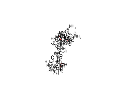 CC[C@H](C)[C@H](NC(=O)[C@@H](NC(=O)[C@H](CC(C)C)NC(=O)[C@@H](N)Cc1ccccc1)C(C)C)C(=O)N[C@@H](CO)C(=O)N[C@@H](Cc1c[nH]cn1)C(=O)N[C@@H](CO)C(=O)N[C@@H](CS)C(=O)N[C@@H](CCCNC(=N)N)C(=O)N[C@@H](C)C(=O)N1CCC[C@H]1C(=O)N[C@@H](C)C(=O)N1CCC[C@H]1C(=O)N[C@@H](C)C(=O)N1CCC[C@H]1C(=O)N[C@H](C(=O)N[C@@H](CCCCN)C(=O)N[C@@H](CCC(N)=O)C(=O)NCC(=O)N1CCC[C@H]1C(=O)O)C(C)C